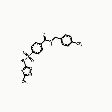 Cc1nsc(NS(=O)(=O)c2ccc(C(=O)NCc3ccc(C(F)(F)F)cc3)cc2)n1